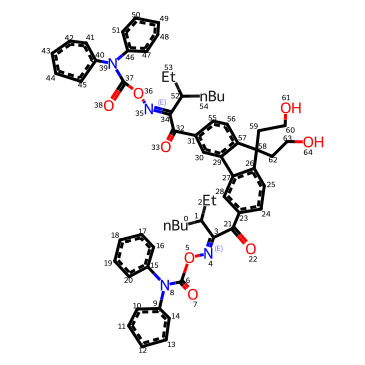 CCCCC(CC)/C(=N\OC(=O)N(c1ccccc1)c1ccccc1)C(=O)c1ccc2c(c1)-c1cc(C(=O)/C(=N/OC(=O)N(c3ccccc3)c3ccccc3)C(CC)CCCC)ccc1C2(CCO)CCO